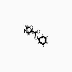 O=C(Oc1ccccc1)c1cnco1